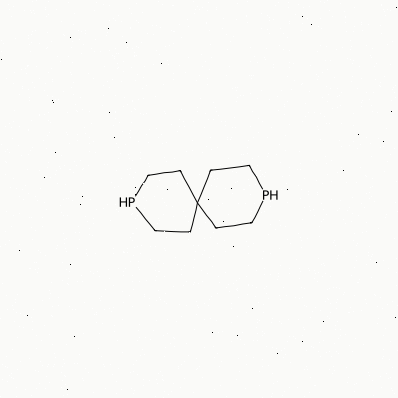 C1CC2(CCP1)CCPCC2